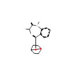 CN1C(=O)C(N)N=C(N2CC3CCC(CC3)C2)c2ccccc21